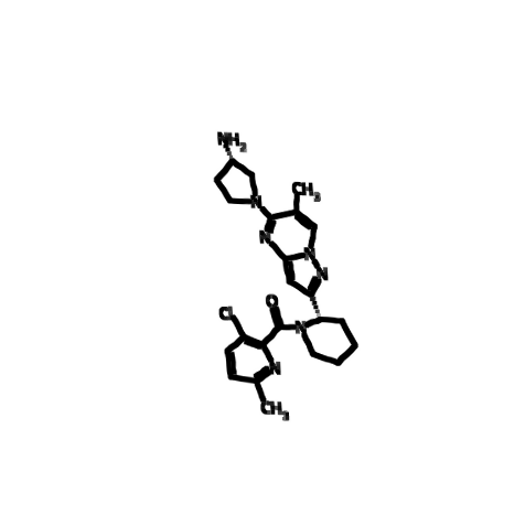 Cc1ccc(Cl)c(C(=O)N2CCCC[C@H]2c2cc3nc(N4CC[C@H](N)C4)c(C)cn3n2)n1